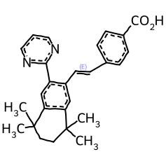 CC1(C)CCC(C)(C)c2cc(-c3ncccn3)c(/C=C/c3ccc(C(=O)O)cc3)cc21